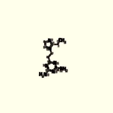 CCc1nccn1CCc1nc(N)nc(N)n1